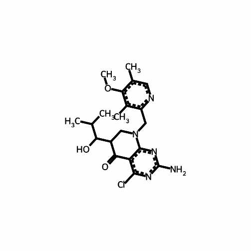 COc1c(C)cnc(CN2CC(C(O)C(C)C)C(=O)c3c(Cl)nc(N)nc32)c1C